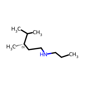 CCCNCC[C@H](C)C(C)C